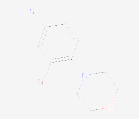 Nc1ccc(N2CCOCC2)c(Br)c1